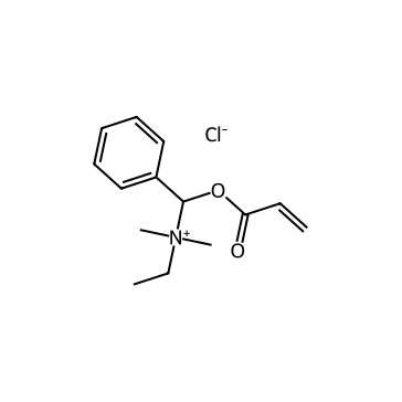 C=CC(=O)OC(c1ccccc1)[N+](C)(C)CC.[Cl-]